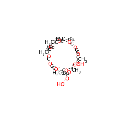 CC(C)(C)CC1(C)COCCOCCOCC(C)(CO)COCC(C)(COCCOCCO)COCC(C)(C(C)(C)C)COCCOCCOCC(C)(CC(C)(C)C)COCC(C)(CC(C)(C)C)COC1